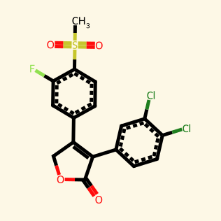 CS(=O)(=O)c1ccc(C2=C(c3ccc(Cl)c(Cl)c3)C(=O)OC2)cc1F